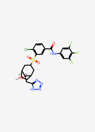 C[C@H]1CC2CC(S(=O)(=O)c3cc(C(=O)Nc4cc(F)c(F)c(F)c4)ccc3Cl)CC1[C@@]2(O)Cc1nnn[nH]1